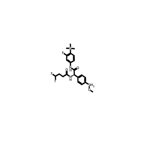 CO[SiH2]c1ccc([C@@H](NC(=O)CCC(F)F)C(=O)Nc2ccc([Si](C)(C)C)c(F)c2)cc1